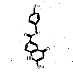 CC(C)(C)c1ccc(NC(=O)c2ccc3[nH]c(C(C)(C)C)cc(=O)c3c2)cc1